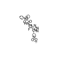 CC(C)(C)OC(=O)N1CCC(c2cc(-c3ccc(NC(=O)c4c5n(n(-c6ccccc6)c4=O)CCCC5)cc3F)c3c(N)ncnn23)CC1